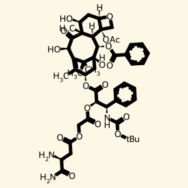 CC(=O)O[C@@]12CO[C@@H]1C[C@H](O)[C@@]1(C)C(=O)[C@H](O)C3=C(C)[C@@H](OC(=O)[C@H](OC(=O)COC(=O)C[C@H](N)C(N)=O)[C@@H](NC(=O)OC(C)(C)C)c4ccccc4)C[C@@](O)([C@@H](OC(=O)c4ccccc4)[C@H]21)C3(C)C